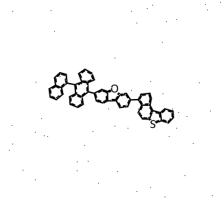 c1ccc2c(-c3c4ccccc4c(-c4ccc5c(c4)oc4cc(-c6cccc7c6ccc6sc8ccccc8c67)ccc45)c4ccccc34)cccc2c1